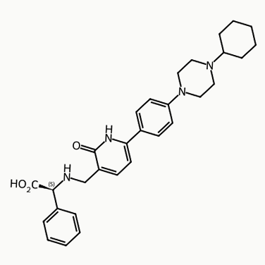 O=C(O)[C@@H](NCc1ccc(-c2ccc(N3CCN(C4CCCCC4)CC3)cc2)[nH]c1=O)c1ccccc1